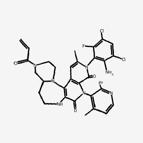 C=CC(=O)N1CCN2c3c(c(=O)n(-c4c(C)ccnc4C(C)C)c4c(=O)n(-c5c(N)c(Cl)cc(Cl)c5F)c(C)cc34)NCCC2C1